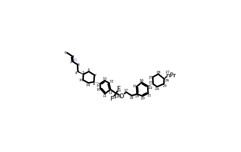 C/C=C/CC[C@H]1CC[C@H](c2ccc(C(F)(F)OCCc3ccc([C@H]4CC[C@H](CCC)CC4)cc3)cc2)CC1